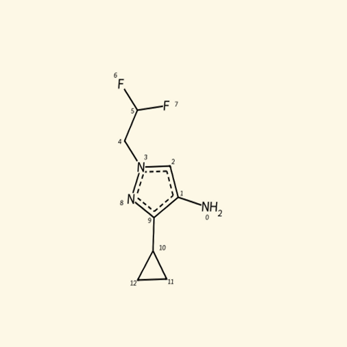 Nc1cn(CC(F)F)nc1C1CC1